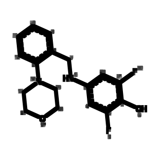 Oc1c(F)cc(NCc2ccccc2N2CCOCC2)cc1F